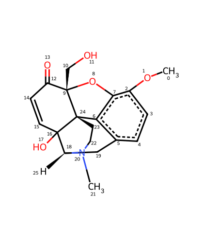 COc1ccc2c3c1O[C@@]1(CO)C(=O)C=CC4(O)[C@@H](C2)N(C)CC[C@@]341